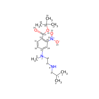 CC(C)CNCCN(C)c1ccc(C(=O)OC(C)(C)C)c([N+](=O)[O-])c1